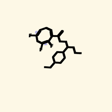 C=C(CCC(CCC)C1CCC(CC)CC1)C1=CC/C=C(/F)C/C(F)=C\1F